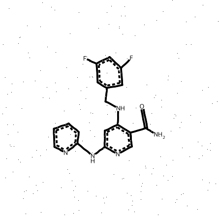 NC(=O)c1cnc(Nc2ccccn2)cc1NCc1cc(F)cc(F)c1